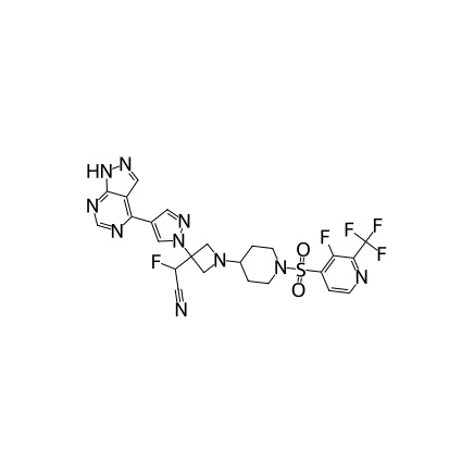 N#CC(F)C1(n2cc(-c3ncnc4[nH]ncc34)cn2)CN(C2CCN(S(=O)(=O)c3ccnc(C(F)(F)F)c3F)CC2)C1